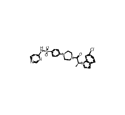 C[C@@H](C(=O)N1CCN(c2ccc(S(=O)(=O)Nc3ccncn3)cc2)CC1)n1ccc2ccc(Cl)cc21